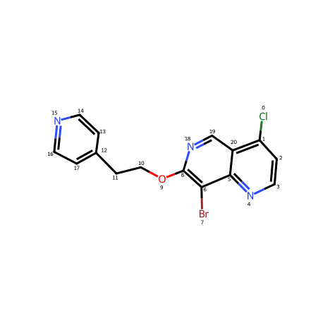 Clc1ccnc2c(Br)c(OCCc3ccncc3)ncc12